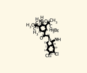 Br.CC(C)(C)c1cc(C(=O)CN2Cc3cc(Cl)c(Cl)cc3C2=N)cc(C(C)(C)C)c1O